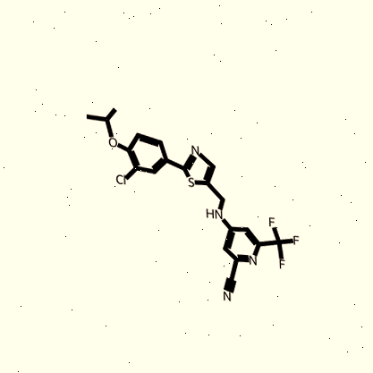 CC(C)Oc1ccc(-c2ncc(CNc3cc(C#N)nc(C(F)(F)F)c3)s2)cc1Cl